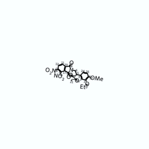 CCOc1cc(C(CN2C(=O)c3ccc([N+](=O)[O-])c([N+](=O)[O-])c3C2=O)S(C)(=O)=O)ccc1OC